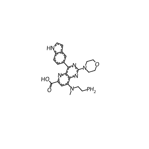 CN(CCP)c1cc(C(=O)O)nc2c(-c3ccc4[nH]ccc4c3)nc(N3CCOCC3)nc12